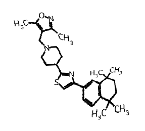 Cc1noc(C)c1CN1CCC(c2nc(-c3ccc4c(c3)C(C)(C)CCC4(C)C)cs2)CC1